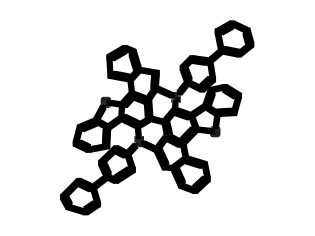 c1ccc(-c2ccc(N(c3ccc4ccccc4c3)c3c(-c4ccc5oc6ccccc6c5c4N(c4ccc(-c5ccccc5)cc4)c4ccc5ccccc5c4)ccc4oc5ccccc5c34)cc2)cc1